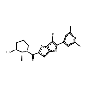 Cc1cc(-c2[nH]c3cc(C(=O)N4CCC[C@H](N)[C@@H]4C)sc3c2C(C)C)cc(C)n1